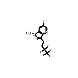 C[C@H]1N=C(CCC(F)(F)C(F)(F)F)c2ncc(F)cc21